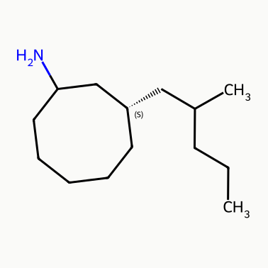 CCCC(C)C[C@@H]1CCCCCC(N)C1